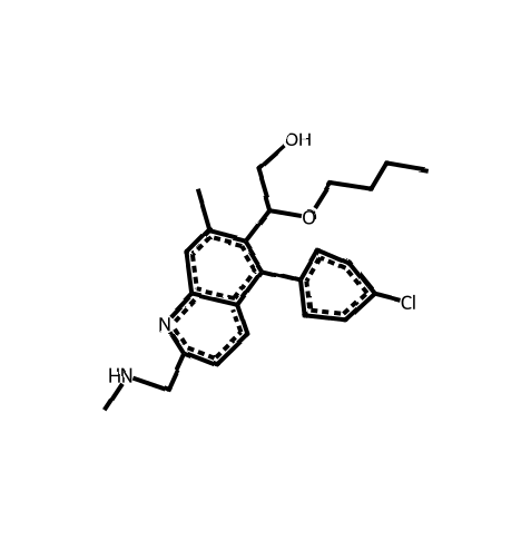 CCCCOC(CO)c1c(C)cc2nc(CNC)ccc2c1-c1ccc(Cl)cc1